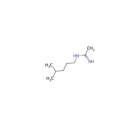 CC(=N)NCCCC(C)C